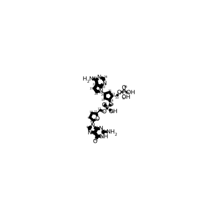 Nc1nc2c(ncn2[C@H]2CC[C@@H](COP(=O)(O)OC3C[C@H](n4ccc5c(N)ncnc54)C[C@@H]3COP(=O)(O)O)O2)c(=O)[nH]1